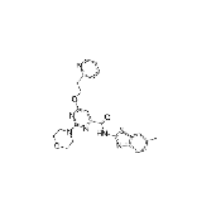 Cc1ccc2nc(NC(=O)c3cc(OCCc4ccccn4)nc(N4CCOCC4)n3)sc2c1